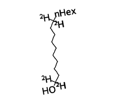 [2H]C([2H])(O)CCCCCCCCC([2H])([2H])CCCCCC